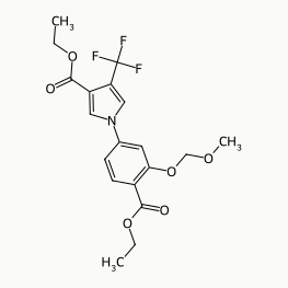 CCOC(=O)c1ccc(-n2cc(C(=O)OCC)c(C(F)(F)F)c2)cc1OCOC